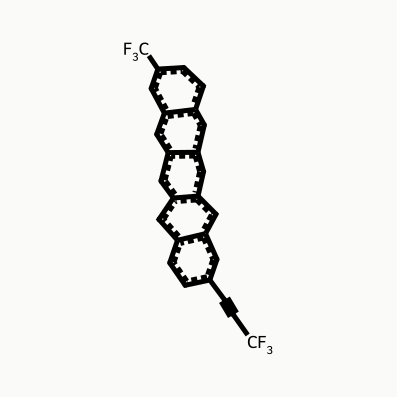 FC(F)(F)C#Cc1ccc2cc3cc4cc5cc(C(F)(F)F)ccc5cc4cc3cc2c1